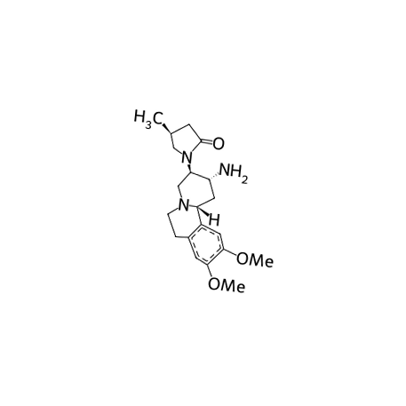 COc1cc2c(cc1OC)[C@H]1C[C@@H](N)[C@H](N3C[C@@H](C)CC3=O)CN1CC2